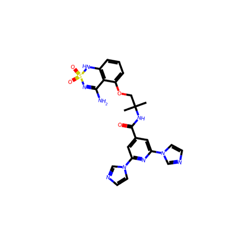 CC(C)(COc1cccc2c1C(N)=NS(=O)(=O)N2)NC(=O)c1cc(-n2ccnc2)nc(-n2ccnc2)c1